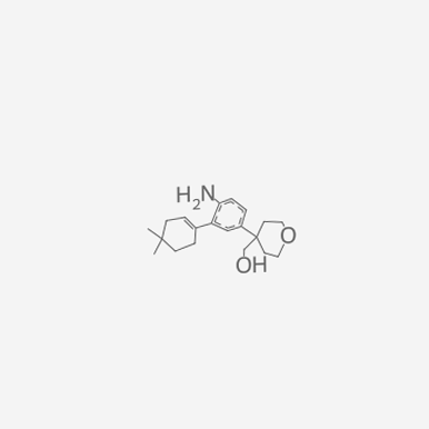 CC1(C)CC=C(c2cc(C3(CO)CCOCC3)ccc2N)CC1